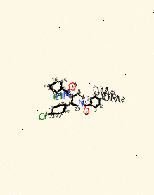 COc1ccc(C(=O)N2CC[C@@H](NC(=O)c3ccccc3Cl)[C@@H](c3ccc(Cl)cc3)C2)cc1OC